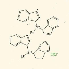 C[CH2][Zr+]([CH]1C=Cc2ccccc21)[CH]1C=Cc2ccccc21.C[CH2][Zr+]([CH]1C=Cc2ccccc21)[CH]1C=Cc2ccccc21.[Cl-].[Cl-]